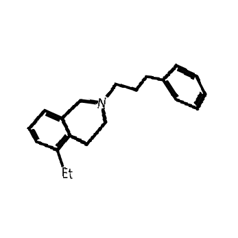 CCc1cccc2c1CCN(CCCc1ccccc1)C2